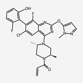 C=CC(=O)N1C[C@H](C)N(c2nc(Oc3ccnn3C)nc3c(F)c(-c4c(O)cccc4F)c(Cl)cc23)C[C@H]1C